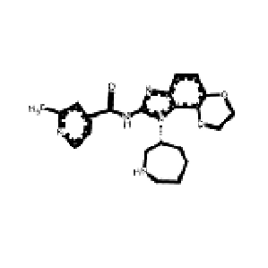 Cc1cc(C(=O)Nc2nc3ccc4c(c3n2[C@@H]2CCCCNC2)OCCO4)ccn1